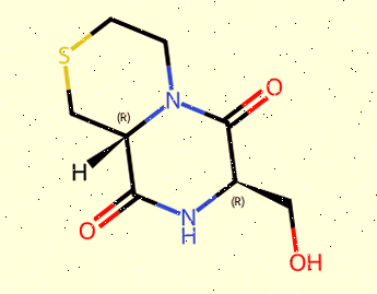 O=C1N[C@H](CO)C(=O)N2CCSC[C@@H]12